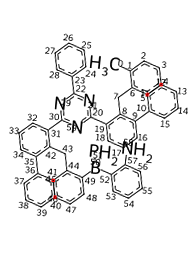 Cc1ccccc1Cc1c(-c2ccccc2)cccc1-c1nc(-c2ccccc2)nc(-c2cccc(-c3ccccc3)c2Cc2ccccc2B(P)c2ccccc2N)n1